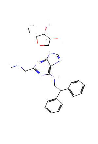 COC[C@H]1O[C@@H](n2cnc3c(NCC(c4ccccc4)c4ccccc4)nc(CNC(C)C)nc32)[C@H](O)[C@@H]1O